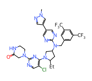 CCC1CC(N(Cc2cc(C(F)(F)F)cc(C(F)(F)F)c2)c2ncc(-c3cnn(C)c3)cn2)CN1c1nc(N2CCNC(=O)C2)ncc1Cl